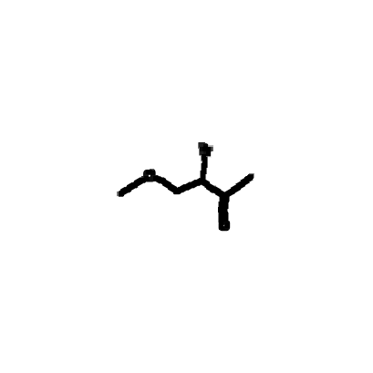 COCC(Br)C(C)=O